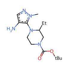 CCC1CN(C(=O)OC(C)(C)C)CCN1c1c(N)cnn1C